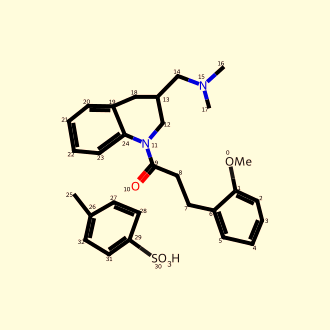 COc1ccccc1CCC(=O)N1CC(CN(C)C)Cc2ccccc21.Cc1ccc(S(=O)(=O)O)cc1